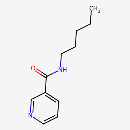 [CH2]CCCCNC(=O)c1cccnc1